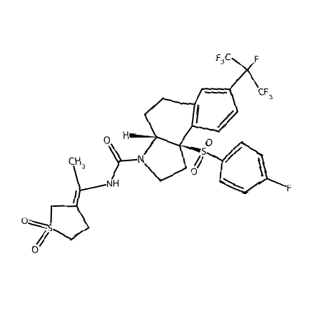 C/C(NC(=O)N1CC[C@@]2(S(=O)(=O)c3ccc(F)cc3)c3ccc(C(F)(C(F)(F)F)C(F)(F)F)cc3CC[C@@H]12)=C1/CCS(=O)(=O)C1